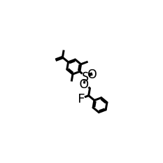 C=C(C)c1cc(C)c(S(=O)OCC(F)c2ccccc2)c(C)c1